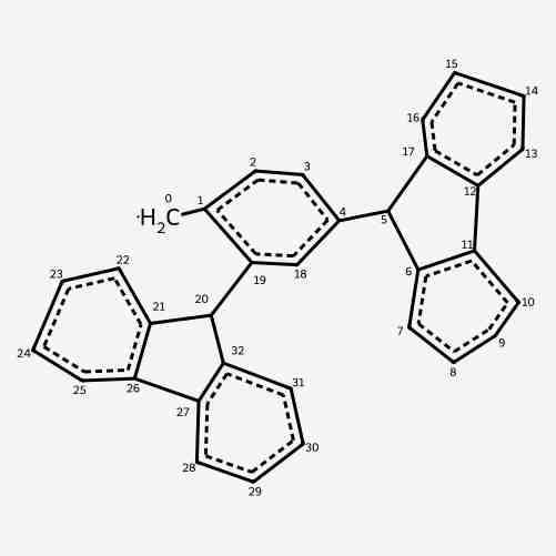 [CH2]c1ccc(C2c3ccccc3-c3ccccc32)cc1C1c2ccccc2-c2ccccc21